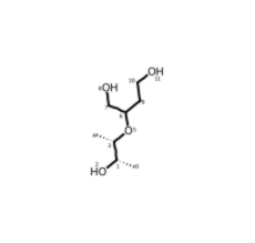 C[C@H](O)[C@H](C)OC(CO)CCO